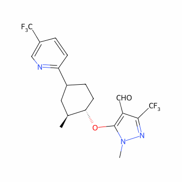 C[C@H]1CC(c2ccc(C(F)(F)F)cn2)CC[C@@H]1Oc1c(C=O)c(C(F)(F)F)nn1C